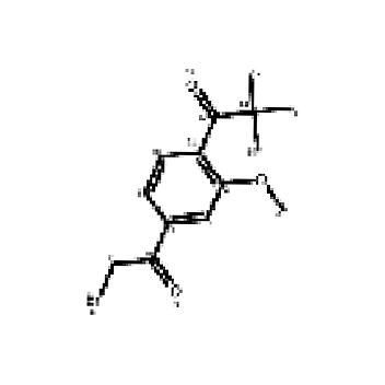 COc1cc(C(=O)CBr)ccc1C(=O)C(C)(C)C